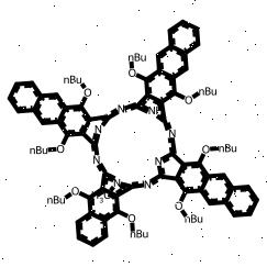 CCCCOc1c2c(c(OCCCC)c3cc4ccccc4cc13)-c1nc-2nc2[nH]c(nc3nc(nc4c5c(OCCCC)c6ccccc6c(OCCCC)c5c(n1)n4C)-c1c-3c(OCCCC)c3cc4ccccc4cc3c1OCCCC)c1c(OCCCC)c3cc4ccccc4cc3c(OCCCC)c21